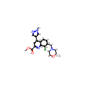 COC(=O)c1cc(-c2cnn(C)c2)c2ccc(CN3CCO[C@@H](C)C3)c(F)c2n1